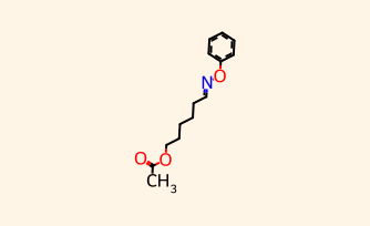 CC(=O)OCCCCCC=NOc1ccccc1